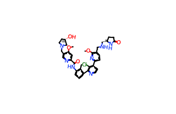 COc1cc(C(=O)Nc2cccc(-c3nccc(-c4ccc(CNC[C@@H]5CCC(=O)N5)c(OC)n4)c3Cl)c2C)ncc1CN1CC[C@H](O)C1